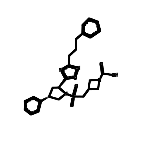 O=C(O)N1CC(CS(=O)(=O)N2C[C@H](c3ccccc3)C[C@H]2c2nc(CCCc3ccccc3)no2)C1